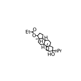 CCCC1(O)CC23CC[C@@H]4[C@@H](CC[C@]5(C)C(OC(=O)CC)CC[C@@H]45)[C@@]2(C)CC1O3